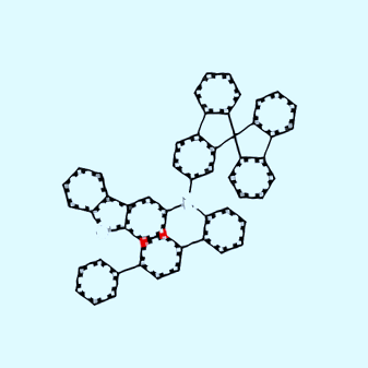 c1ccc(-c2ccc(-c3ccccc3N(c3ccc4c(c3)C3(c5ccccc5-c5ccccc53)c3ccccc3-4)c3ccc4oc5ccccc5c4c3)cc2)cc1